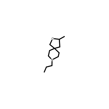 CCCN1CCC2(CC1)COC(C)C2